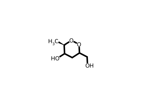 C[C@H]1OOC(CO)CC1O